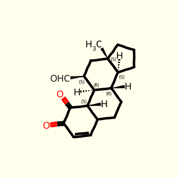 C[C@@]12CCC[C@H]1[C@@H]1CCC3C=CC(=O)C(=O)[C@@H]3[C@H]1[C@@H](C=O)C2